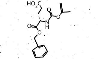 C=C(C)OC(=O)N[C@@H](CCC(=O)O)C(=O)OCc1ccccc1